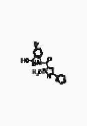 Cn1nc(-c2ccccc2)cc1C(=O)[AsH]c1ccc(Br)cc1C(=O)O